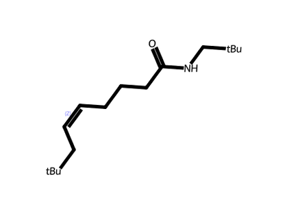 CC(C)(C)C/C=C\CCCC(=O)NCC(C)(C)C